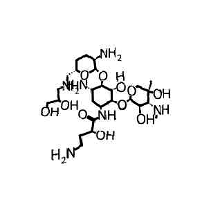 CN[C@@H]1[C@@H](O)[C@@H](O[C@@H]2[C@@H](O)[C@H](O[C@H]3O[C@H](CNCC(O)CO)CC[C@H]3N)[C@@H](N)C[C@H]2NC(=O)[C@@H](O)CCN)OC[C@]1(C)O